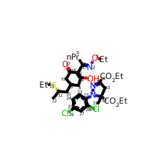 CCC/C(=N\OCC)C1=C(O)CC(CC(C)SCC)CC1=O.CCOC(=O)C1=NN(c2ccc(Cl)cc2Cl)C(C)(C(=O)OCC)C1